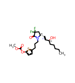 CCCCC[C@H](O)/C=C/[C@H]1CC(F)(F)C(=O)N1CCCc1ccc(OC(=O)OC)s1